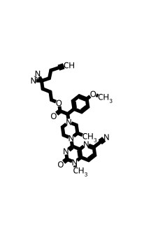 C#CCCC1(CCCOC(=O)C(c2ccc(OC)cc2)N2CCN(c3nc(=O)n(C)c4ccc(C#N)nc34)C(C)C2)N=N1